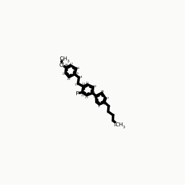 CCCCCc1ccc(-c2ccc(CCc3ccc(OC)cc3)c(F)c2)cc1